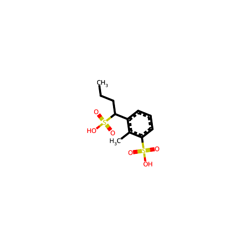 CCCC(c1cccc(S(=O)(=O)O)c1C)S(=O)(=O)O